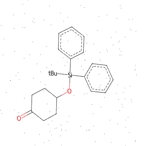 CC(C)(C)[Si](OC1CCC(=O)CC1)(c1ccccc1)c1ccccc1